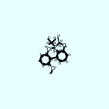 COc1cccc(OC)c1-c1cccc2c1[PH](C)(C(C)(C)C)[C@@H](C)O2